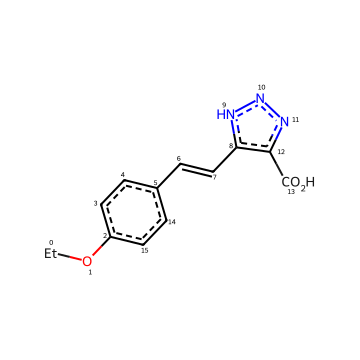 CCOc1ccc(C=Cc2[nH]nnc2C(=O)O)cc1